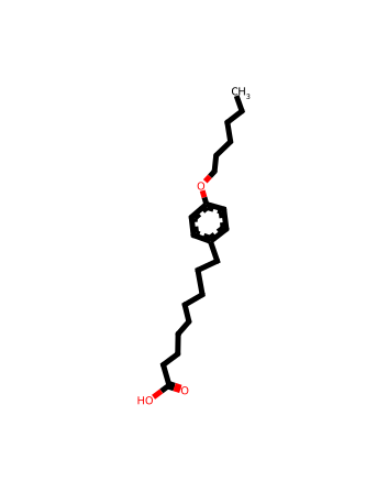 CCCCCCOc1ccc(CCCCCCCCC(=O)O)cc1